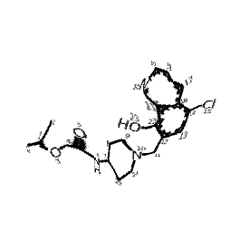 CC(C)OC(=O)NC1CCN(Cc2cc(Cl)c3cccnc3c2O)CC1